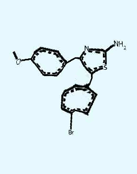 COc1ccc(-c2nc(N)sc2-c2ccc(Br)cc2)cc1